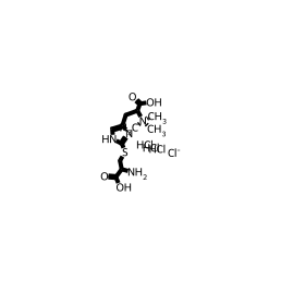 C[N+](C)(C)C(Cc1c[nH]c(SCC(N)C(=O)O)n1)C(=O)O.Cl.Cl.Cl.[Cl-]